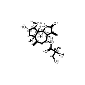 C=C1C(=O)O[C@H]2[C@H]1[C@@H](OC(=O)[C@](C)(O)CO)CC(=C)[C@@H]1C[C@H](O)[C@]3(CO3)[C@H]21